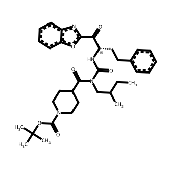 CCC(C)CN(C(=O)N[C@@H](CCc1ccccc1)C(=O)c1nc2ccccc2o1)C(=O)C1CCN(C(=O)OC(C)(C)C)CC1